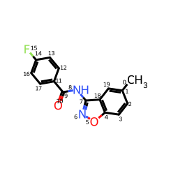 Cc1ccc2onc(NC(=O)c3ccc(F)cc3)c2c1